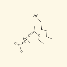 CCCCCC.CCOC(C)=O.CO.O=[N+]([O-])[O-].[Ag+]